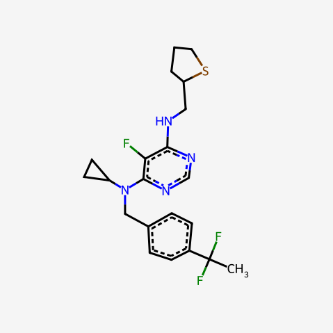 CC(F)(F)c1ccc(CN(c2ncnc(NCC3CCCS3)c2F)C2CC2)cc1